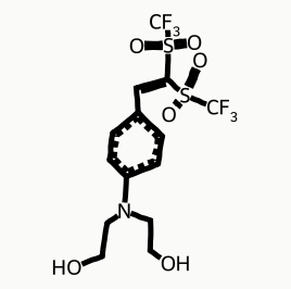 O=S(=O)(C(=Cc1ccc(N(CCO)CCO)cc1)S(=O)(=O)C(F)(F)F)C(F)(F)F